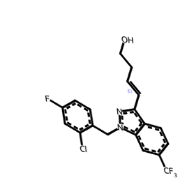 OCC/C=C/c1nn(Cc2ccc(F)cc2Cl)c2cc(C(F)(F)F)ccc12